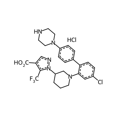 Cl.O=C(O)c1cnn(C2CCCN(c3cc(Cl)ccc3-c3ccc(N4CCNCC4)cc3)C2)c1C(F)(F)F